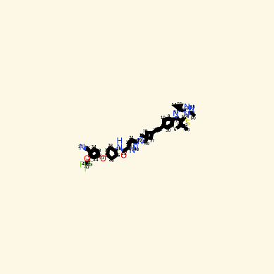 Cc1sc2c(c1C)C(c1ccc(C#CC3CC4(C3)CN(c3ccc(C(=O)NC5CCC(Oc6ccc(C#N)c(OC(F)(F)F)c6)CC5)nn3)C4)cc1)=NC1(CC1)c1nnc(C)n1-2